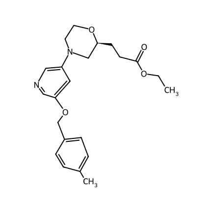 CCOC(=O)CC[C@H]1CN(c2cncc(OCc3ccc(C)cc3)c2)CCO1